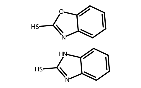 Sc1nc2ccccc2[nH]1.Sc1nc2ccccc2o1